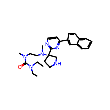 CCN(CC)C(=O)N(C)CCN(C)[C@]1(c2nccc(-c3ccc4ccccc4c3)n2)CCNC1